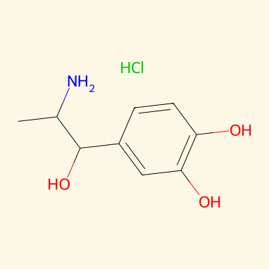 CC(N)C(O)c1ccc(O)c(O)c1.Cl